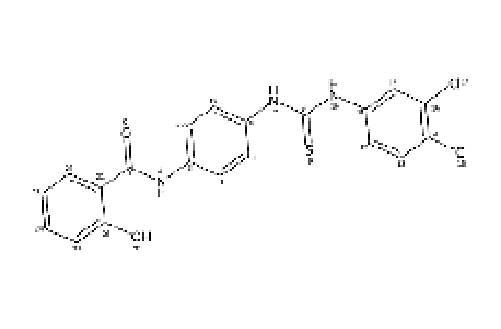 O=C(Nc1ccc(NC(=S)Nc2ccc(Cl)c(Cl)c2)cc1)c1ccccc1O